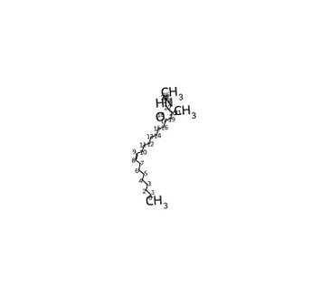 CCCCCCCC/C=C\CCCCCCCC(=O)C[C@@H](C)CNCC